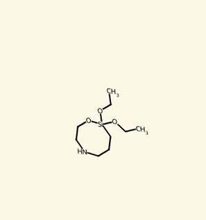 CCO[Si]1(OCC)CCCNCCO1